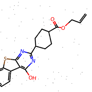 C=CCOC(=O)C1CCC(c2nc(O)c3c(n2)sc2ccccc23)CC1